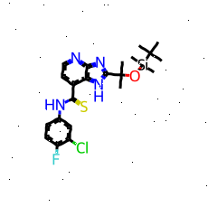 CC(C)(O[Si](C)(C)C(C)(C)C)c1nc2nccc(C(=S)Nc3ccc(F)c(Cl)c3)c2[nH]1